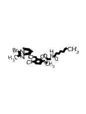 CCCCCCC(=O)NCC(=O)N(C)c1ccc(Cl)c(COc2cccn3c(Br)c(C)nc23)c1Cl